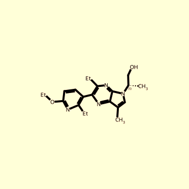 CCOc1ccc(-c2nc3c(C)cn([C@@H](C)CO)c3nc2CC)c(CC)n1